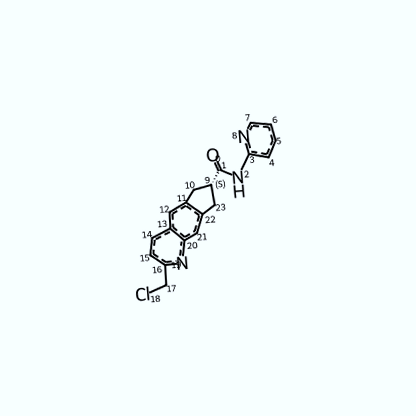 O=C(Nc1ccccn1)[C@H]1Cc2cc3ccc(CCl)nc3cc2C1